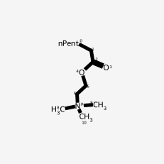 CCCCCCC(=O)OCC[N+](C)(C)C